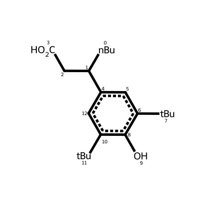 CCCCC(CC(=O)O)c1cc(C(C)(C)C)c(O)c(C(C)(C)C)c1